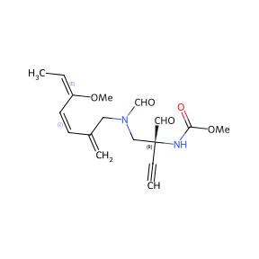 C#C[C@](C=O)(CN(C=O)CC(=C)/C=C\C(=C/C)OC)NC(=O)OC